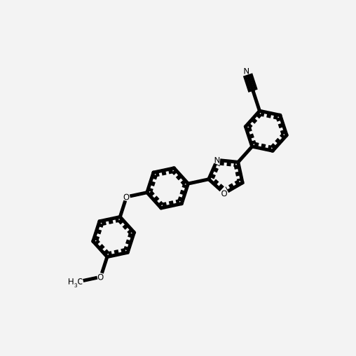 COc1ccc(Oc2ccc(-c3nc(-c4cccc(C#N)c4)co3)cc2)cc1